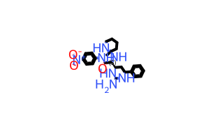 CC1(N[C@@H](CCC(NC(=N)N)c2ccccc2)C(=O)Nc2ccc([N+](=O)[O-])cc2)CCCCN1